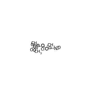 CCc1c(OCCCN2CCOCC2)cccc1-c1cccc(COc2nc(OC)c(C=O)c(OC)n2)c1Cl